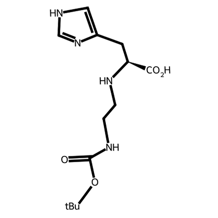 CC(C)(C)OC(=O)NCCN[C@@H](Cc1c[nH]cn1)C(=O)O